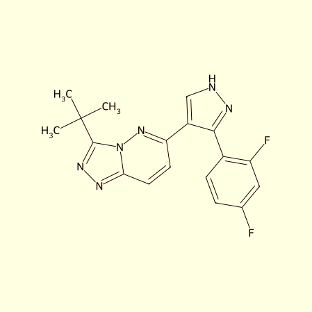 CC(C)(C)c1nnc2ccc(-c3c[nH]nc3-c3ccc(F)cc3F)nn12